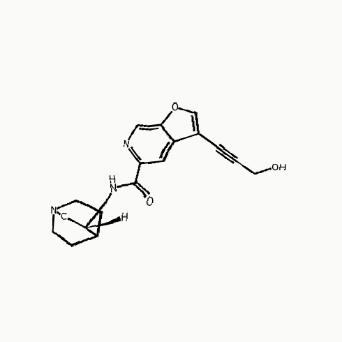 O=C(N[C@H]1CN2CCC1CC2)c1cc2c(C#CCO)coc2cn1